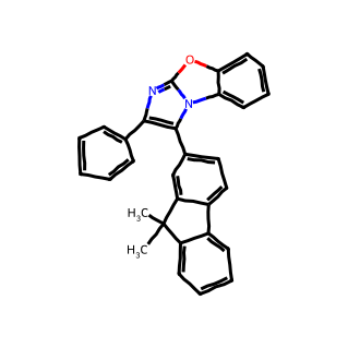 CC1(C)c2ccccc2-c2ccc(-c3c(-c4ccccc4)nc4oc5ccccc5n34)cc21